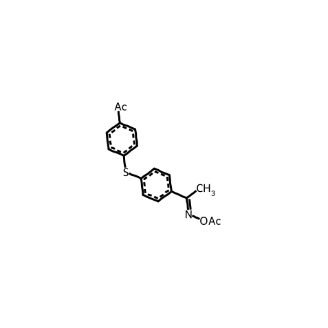 CC(=O)O/N=C(\C)c1ccc(Sc2ccc(C(C)=O)cc2)cc1